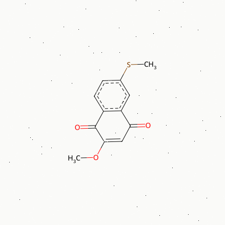 COC1=CC(=O)c2cc(SC)ccc2C1=O